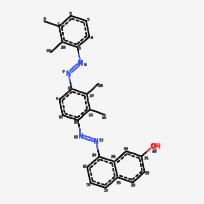 Cc1cccc(N=Nc2ccc(N=Nc3cccc4ccc(O)cc34)c(C)c2C)c1C